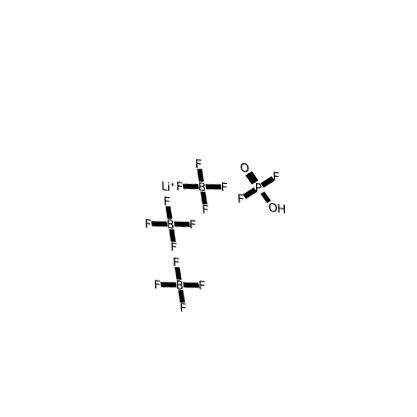 F[B-](F)(F)F.F[B-](F)(F)F.F[B-](F)(F)F.O=P(O)(F)F.[Li+]